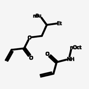 C=CC(=O)NCCCCCCCC.C=CC(=O)OCC(CC)CCCC